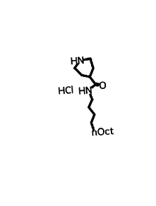 CCCCCCCCCCCCNC(=O)C1CCNCC1.Cl